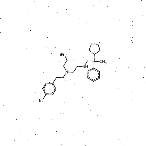 CCc1ccc(CCN(CCNCC(C)(c2ccccc2)C2CCCC2)CCC(C)C)cc1